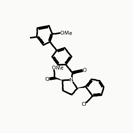 COC(=O)[C@@H]1CC[C@H](c2ccccc2Cl)N1C(=O)c1ccc(-c2cc(C)ccc2OC)cc1